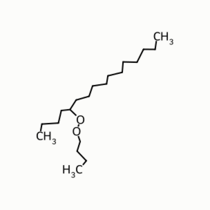 CCCCCCCCCCCC(CCCC)OOCCCC